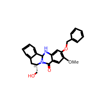 COc1cc2c(cc1OCc1ccccc1)NC1c3ccccc3C[C@@H](CO)N1C2=O